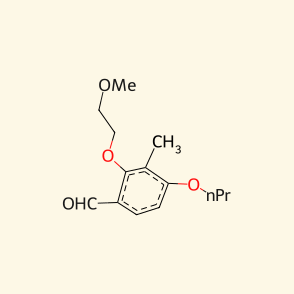 CCCOc1ccc(C=O)c(OCCOC)c1C